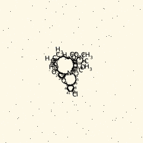 COC[C@H](C)N(C)C(=O)C[C@]1(OC)/C=C/C[C@H](C)[C@@H](C)S(=O)(=O)NC(=O)c2ccc3c(c2)N(CCCCc2cc(Cl)ccc2CO3)C[C@@H]2CC[C@H]21